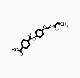 C=CC(=O)OCOC1CCC(OC(=O)C2CCC(C(=O)O)CC2)CC1